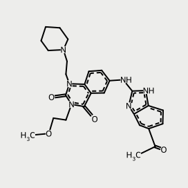 COCCn1c(=O)c2cc(Nc3nc4cc(C(C)=O)ccc4[nH]3)ccc2n(CCN2CCCCC2)c1=O